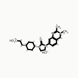 CC1=Nc2cc(N3CCN([C@H]4CC[C@H](CCC(=O)O)CC4)C3=O)ccc2CN1C.Cl